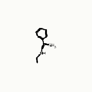 CCNC=C([SiH3])c1ccccc1